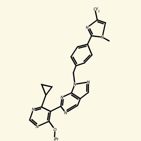 CC(C)Oc1ncnc(C2CC2)c1-c1ncc2cnn(Cc3ccc(-c4nc(C(F)(F)F)cn4C)cc3)c2n1